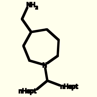 CCCCCCCC(CCCCCCC)N1CCCC(CN)CC1